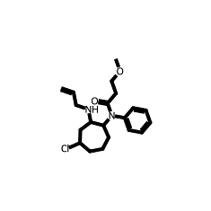 C=CCNC1CC(Cl)CCCC1N(C(=O)CCOC)c1ccccc1